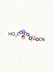 N#Cc1ccc(COc2nc(-c3ccc(Cc4nc5ccc(C(=O)O)cc5n4C[C@@H]4CCO4)cc3)ccc2F)c(F)c1